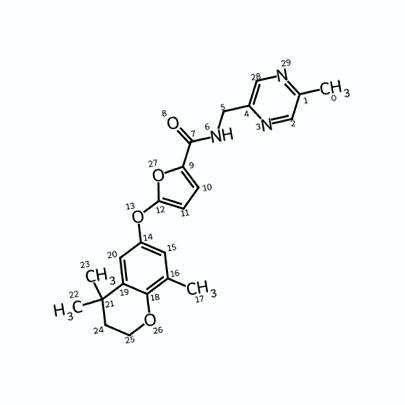 Cc1cnc(CNC(=O)c2ccc(Oc3cc(C)c4c(c3)C(C)(C)CCO4)o2)cn1